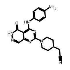 N#CCC1CCN(c2nc(Nc3ccc(N)cc3)c3c(=O)[nH]ncc3n2)CC1